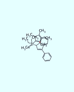 C[CH2][Zr](=[GeH2])([CH2]C)([C]1=C(C)C(C)=C(C)C1C)[CH]1C=C(c2ccccc2)c2ccccc21